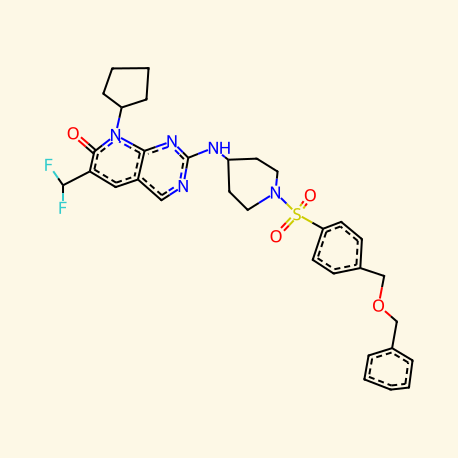 O=c1c(C(F)F)cc2cnc(NC3CCN(S(=O)(=O)c4ccc(COCc5ccccc5)cc4)CC3)nc2n1C1CCCC1